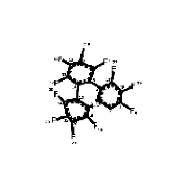 Fc1ccc(-c2c(F)c(F)c(F)c(F)c2-c2c(F)c(F)c(F)c(F)c2F)c(F)c1F